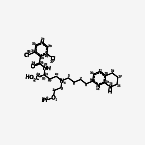 CC(C)OCCN(CCCCc1ccc2c(n1)NCCC2)CC[C@H](NC(=O)c1c(Cl)cncc1Cl)C(=O)O